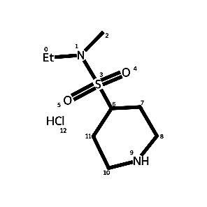 CCN(C)S(=O)(=O)C1CCNCC1.Cl